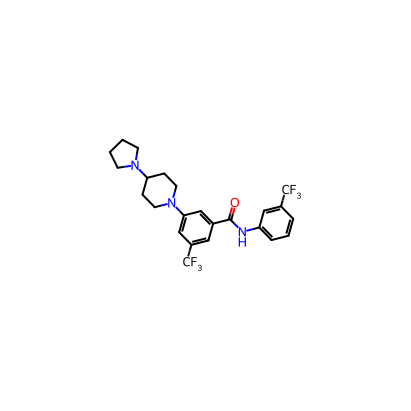 O=C(Nc1cccc(C(F)(F)F)c1)c1cc(N2CCC(N3CCCC3)CC2)cc(C(F)(F)F)c1